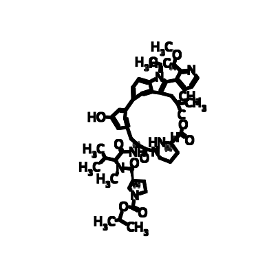 CCn1c(-c2cccnc2[C@H](C)OC)c2c3cc(ccc31)-c1cc(O)cc(c1)C[C@H](NC(=O)C(C(C)C)N(C)C(=O)[C@H]1CCN(C(=O)OC(C)C)C1)C(=O)N1CCC[C@H](N1)C(=O)OCC(C)(C)C2